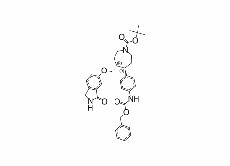 CC(C)(C)OC(=O)N1CC[C@@H](COc2ccc3c(c2)C(=O)NC3)[C@H](c2ccc(NC(=O)OCc3ccccc3)cc2)CC1